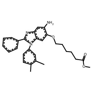 COC(=O)CCCCCOc1cc2c(cc1N)nc(-c1ccccc1)n2-c1ccc(C)c(C)c1